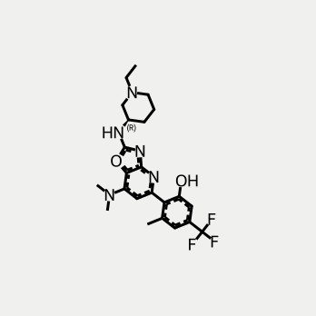 CCN1CCC[C@@H](Nc2nc3nc(-c4c(C)cc(C(F)(F)F)cc4O)cc(N(C)C)c3o2)C1